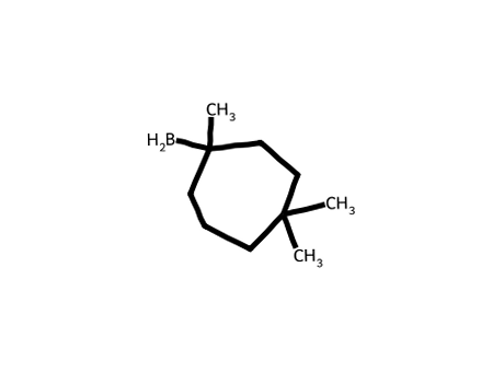 BC1(C)CCCC(C)(C)CC1